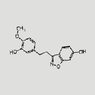 COc1ccc(CCc2noc3cc(O)ccc23)cc1O